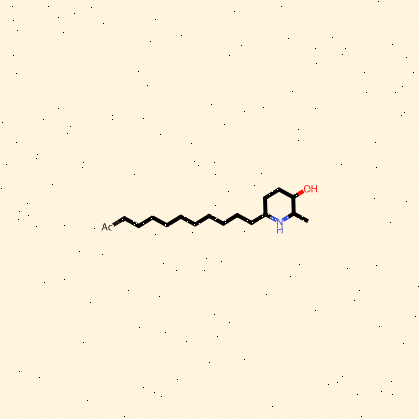 CC(=O)CCCCCCCCCCC1CCC(O)C(C)N1